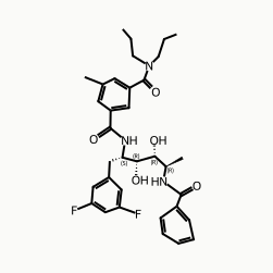 CCCN(CCC)C(=O)c1cc(C)cc(C(=O)N[C@@H](Cc2cc(F)cc(F)c2)[C@@H](O)[C@H](O)[C@@H](C)NC(=O)c2ccccc2)c1